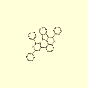 c1ccc(-c2cc(-c3cccc4nc(-c5ccccc5)c5c6ccccc6sc5c34)nc(-c3ccccc3)n2)cc1